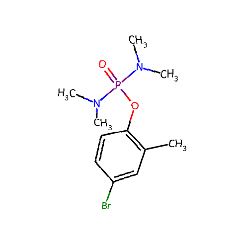 Cc1cc(Br)ccc1OP(=O)(N(C)C)N(C)C